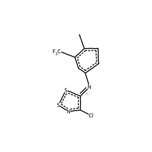 Cc1ccc(/N=c2\ssnc2Cl)cc1C(F)(F)F